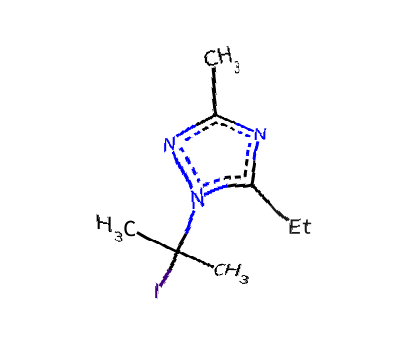 CCc1nc(C)nn1C(C)(C)I